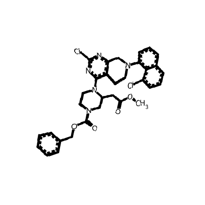 COC(=O)CC1CN(C(=O)OCc2ccccc2)CCN1c1nc(Cl)nc2c1CCN(c1cccc3cccc(Cl)c13)C2